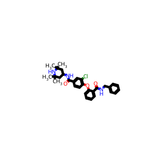 CC1(C)CC(NC(=O)c2ccc(Oc3ccccc3C(=O)NCc3ccccc3)c(Cl)c2)CC(C)(C)N1